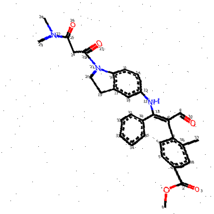 COC(=O)c1ccc(/C(C=O)=C(/Nc2ccc3c(c2)CCN3C(=O)CC(=O)N(C)C)c2ccccc2)c(C)c1